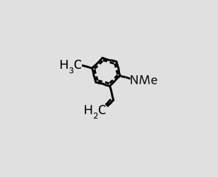 C=Cc1cc(C)ccc1NC